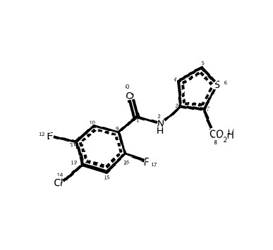 O=C(Nc1ccsc1C(=O)O)c1cc(F)c(Cl)cc1F